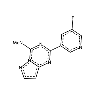 CNc1nc(-c2cncc(F)c2)nc2ccnn12